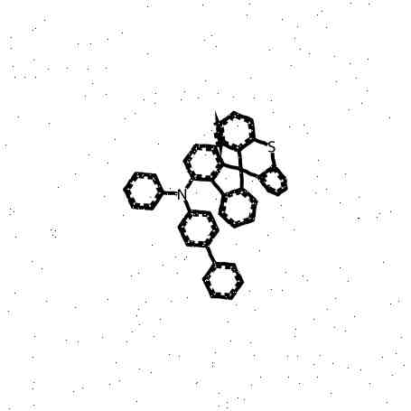 c1ccc(-c2ccc(N(c3ccccc3)c3cccc4c3-c3ccccc3C43c4ccccc4Sc4ccc5ccccc5c43)cc2)cc1